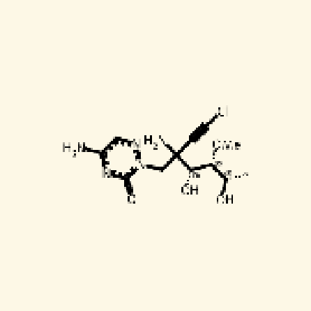 CO[C@H]([C@H](C)O)[C@H](O)C(N)(C#CCl)Cn1ncc(N)nc1=O